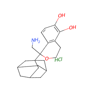 Cl.NCC1(C23CC4CC(CC(C4)C2)C3)OCCc2c1ccc(O)c2O